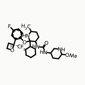 COC1CCC(NC(=O)NC2CCC(C)NC2(Oc2ccc(F)cc2[C@]2(C(F)(F)F)CCO2)C2CCCCC2)CN1